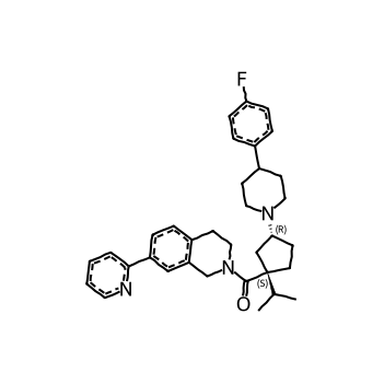 CC(C)[C@]1(C(=O)N2CCc3ccc(-c4ccccn4)cc3C2)CC[C@@H](N2CCC(c3ccc(F)cc3)CC2)C1